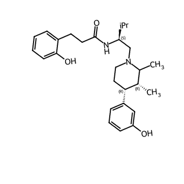 CC(C)[C@@H](CN1CC[C@@H](c2cccc(O)c2)[C@@H](C)C1C)NC(=O)CCc1ccccc1O